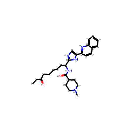 CCC(=O)CCCCC[C@H](NC(=O)C1CCN(C)CC1)c1ncc(-c2ccc3ccccc3n2)[nH]1